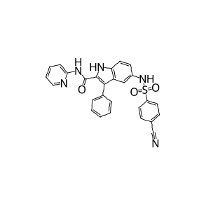 N#Cc1ccc(S(=O)(=O)Nc2ccc3[nH]c(C(=O)Nc4ccccn4)c(-c4ccccc4)c3c2)cc1